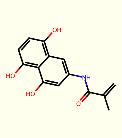 C=C(C)C(=O)Nc1cc(O)c2c(O)ccc(O)c2c1